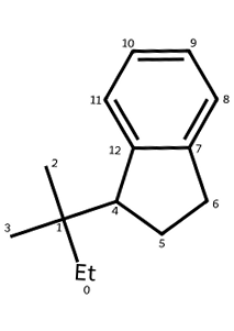 CCC(C)(C)C1CCc2ccccc21